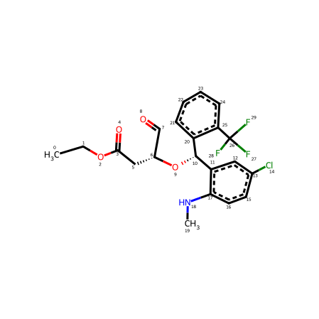 CCOC(=O)C[C@H](C=O)O[C@@H](c1cc(Cl)ccc1NC)c1ccccc1C(F)(F)F